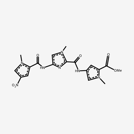 COC(=O)c1cc(NC(=O)c2nc(NC(=O)c3cc([N+](=O)[O-])cn3C)cn2C)cn1C